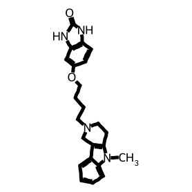 Cn1c2c(c3ccccc31)CN(CCCCOc1ccc3[nH]c(=O)[nH]c3c1)CC2